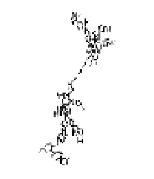 Cc1ncsc1-c1ccc(CNC(=O)[C@@H]2C[C@@H](O)CN2C(=O)[C@@H](NC(=O)CCCCCCCCCCN2CCC(CNc3ccc(S(=O)(=O)NC(=O)c4ccc(N5CCN(CC6=C(c7ccc(Cl)cc7)CC(C)(C)CC6)CC5)cc4Oc4cnc5[nH]ccc5c4)cc3[N+](=O)[O-])CC2)C(C)(C)C)cc1